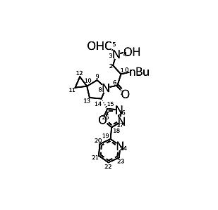 CCCCC(CN(O)C=O)C(=O)N1CC2(CC2)C[C@H]1c1nnc(-c2ccccn2)o1